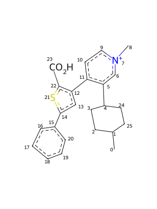 CC1CCC(c2c[n+](C)ccc2-c2cc(-c3ccccc3)sc2C(=O)O)CC1